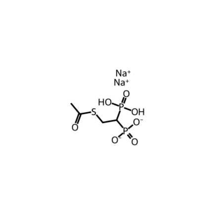 CC(=O)SCC(P(=O)([O-])[O-])P(=O)(O)O.[Na+].[Na+]